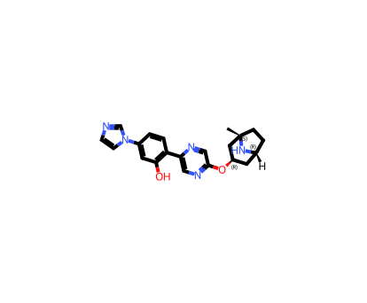 C[C@]12CC[C@H](C[C@@H](Oc3cnc(-c4ccc(-n5ccnc5)cc4O)cn3)C1)N2